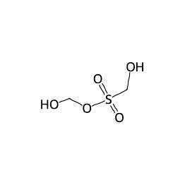 O=S(=O)(CO)OCO